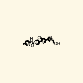 Cc1ccc(NC(=O)N2CC=C(c3ncc(-c4cnn(CCO)c4)cc3Cl)CC2)nc1